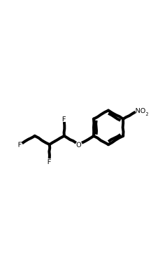 O=[N+]([O-])c1ccc(OC(F)C(F)CF)cc1